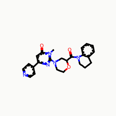 Cn1c(N2CCOC(C(=O)N3CCCc4ccccc43)C2)nc(-c2ccncc2)cc1=O